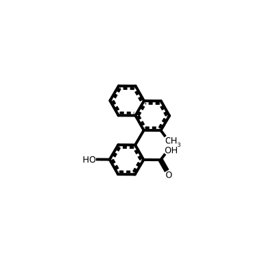 Cc1ccc2ccccc2c1-c1cc(O)ccc1C(=O)O